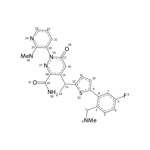 CNCc1ccc(F)cc1-c1ccc(C(C)c2cc(=O)n(-c3cccnc3NC)nc2C(N)=O)s1